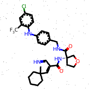 CC1(/C=C(\C=N)C(=O)N[C@@]2(C(=O)NCc3ccc(Nc4ccc(Cl)cc4C(F)(F)F)cc3)CCOC2)CCCCC1